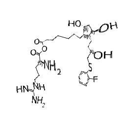 N=C(N)NCCC[C@H](N)C(=O)OC(=O)CCCCCC[C@@H]1[C@@H](CC[C@@H](O)CSc2ccccc2F)[C@H](O)C[C@H]1O